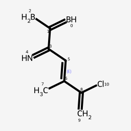 B=C(B)C(=N)/C=C(\C)C(=C)Cl